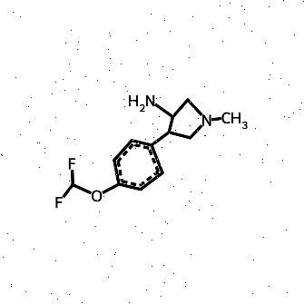 CN1CC(N)C(c2ccc(OC(F)F)cc2)C1